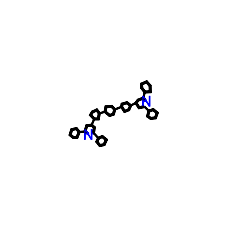 c1ccc(-c2cc(-c3ccc(-c4ccc(-c5cccc(-c6cc(-c7ccccc7)nc(-c7ccccc7)c6)c5)cc4)cc3)cc(-c3ccccc3)n2)cc1